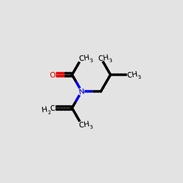 C=C(C)N(CC(C)C)C(C)=O